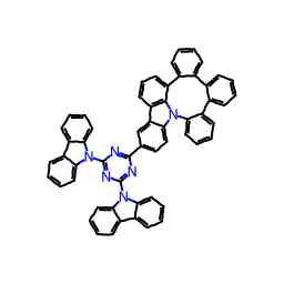 c1ccc2c(c1)c1ccccc1c1cccc3c4cc(-c5nc(-n6c7ccccc7c7ccccc76)nc(-n6c7ccccc7c7ccccc76)n5)ccc4n(c4ccccc24)c13